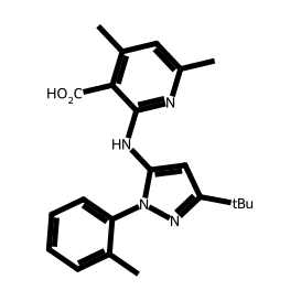 Cc1cc(C)c(C(=O)O)c(Nc2cc(C(C)(C)C)nn2-c2ccccc2C)n1